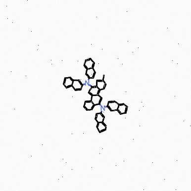 Cc1ccc2c(c1)c(N(c1ccc3ccccc3c1)c1ccc3ccccc3c1)cc1c3ccccc3c(N(c3ccc4ccccc4c3)c3ccc4ccccc4c3)cc21